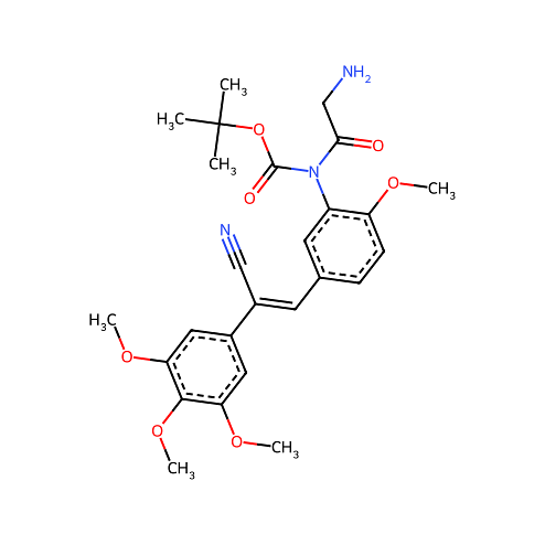 COc1ccc(C=C(C#N)c2cc(OC)c(OC)c(OC)c2)cc1N(C(=O)CN)C(=O)OC(C)(C)C